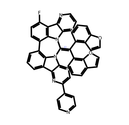 Fc1ccc2c3cccc4c5nc(-c6ccncc6)cnc5n(/c(=C(/c5cccc6occc56)c5cccc6ccoc56)n5c6nccnc6c1c25)c34